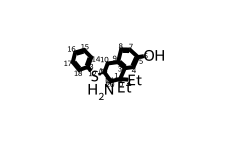 CCC1(CC)c2cc(O)ccc2C[C@H](Sc2ccccc2)[C@H]1N